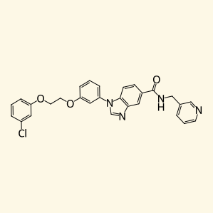 O=C(NCc1cccnc1)c1ccc2c(c1)ncn2-c1cccc(OCCOc2cccc(Cl)c2)c1